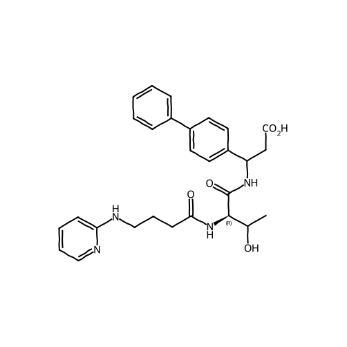 CC(O)[C@@H](NC(=O)CCCNc1ccccn1)C(=O)NC(CC(=O)O)c1ccc(-c2ccccc2)cc1